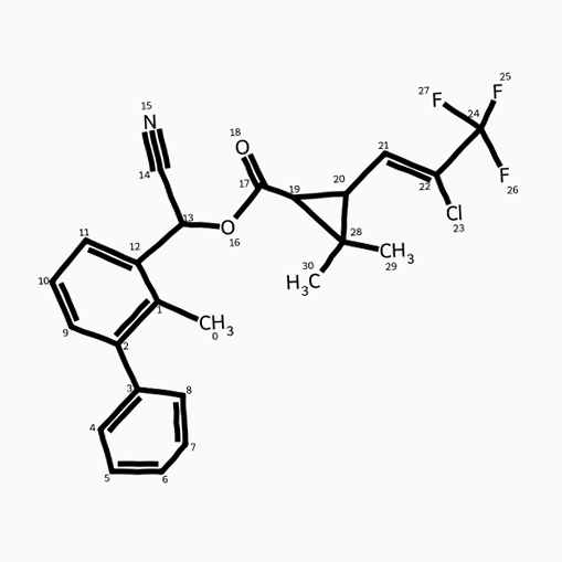 Cc1c(-c2ccccc2)cccc1C(C#N)OC(=O)C1C(C=C(Cl)C(F)(F)F)C1(C)C